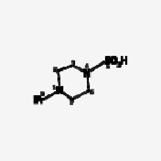 CC(C)N1CCN(S(=O)(=O)O)CC1